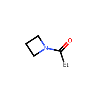 CCC(=O)N1CCC1